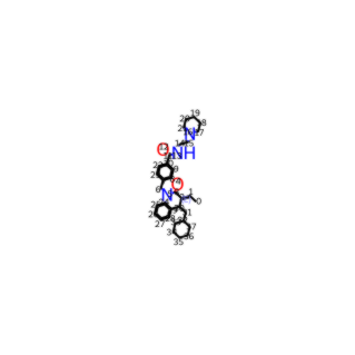 C/C=C1/C(=O)N(Cc2ccc(C(=O)NCCN3CCCCC3)cc2)c2ccccc2C1CC1CCCCC1